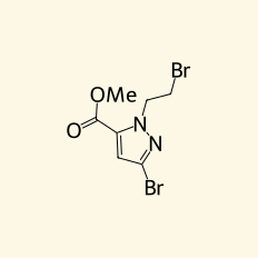 COC(=O)c1cc(Br)nn1CCBr